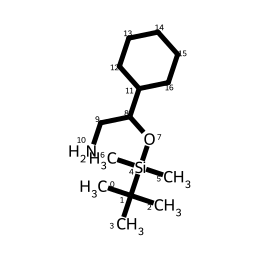 CC(C)(C)[Si](C)(C)OC(CN)C1CCCCC1